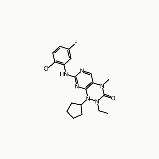 CCN1C(=O)N(C)c2cnc(Nc3cc(F)ccc3Cl)nc2N1C1CCCC1